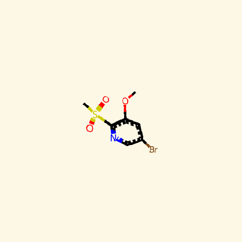 COc1cc(Br)cnc1S(C)(=O)=O